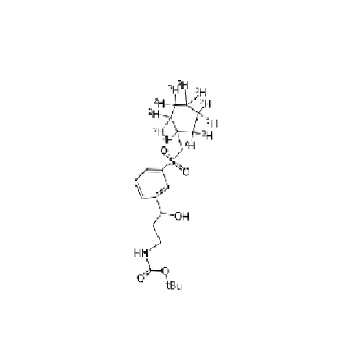 [2H]C1([2H])C([2H])([2H])C([2H])([2H])C([2H])(CS(=O)(=O)c2cccc(C(O)CCNC(=O)OC(C)(C)C)c2)C([2H])([2H])C1([2H])[2H]